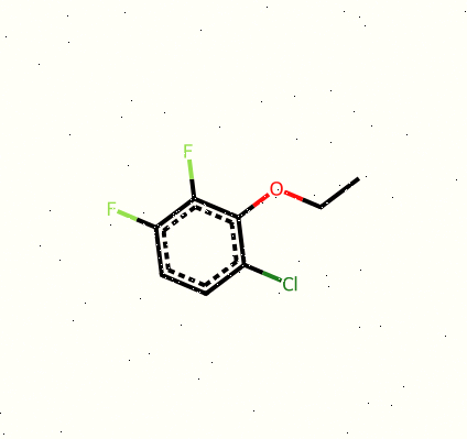 CCOc1c(Cl)ccc(F)c1F